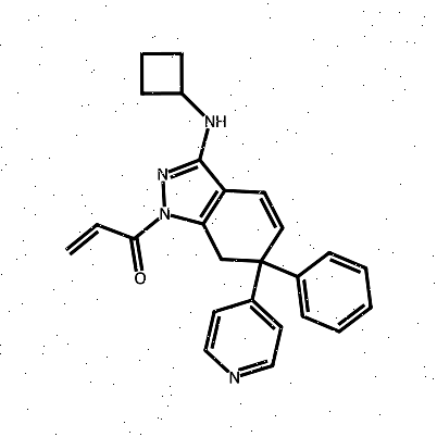 C=CC(=O)n1nc(NC2CCC2)c2c1CC(c1ccccc1)(c1ccncc1)C=C2